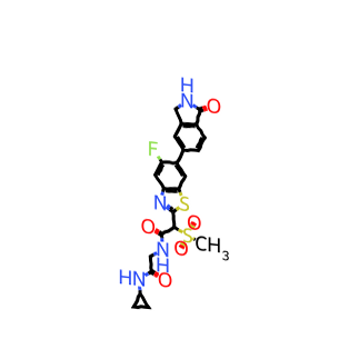 CS(=O)(=O)C(C(=O)NCC(=O)NC1CC1)c1nc2cc(F)c(-c3ccc4c(c3)CNC4=O)cc2s1